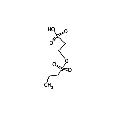 CCCS(=O)(=O)OCCS(=O)(=O)O